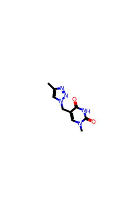 Cc1cn(Cc2cn(C)c(=O)[nH]c2=O)nn1